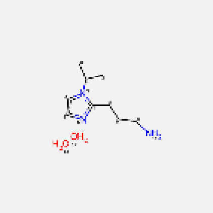 CC(C)n1ccnc1CCCN.O.O